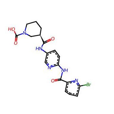 O=C(Nc1ccc(NC(=O)[C@@H]2CCCN(C(=O)O)C2)cn1)c1cccc(Br)n1